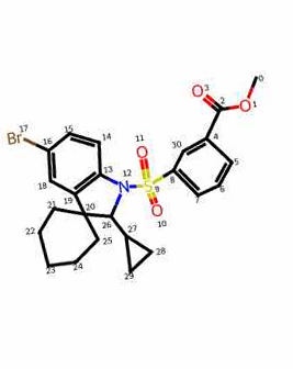 COC(=O)c1cccc(S(=O)(=O)N2c3ccc(Br)cc3C3(CCCCC3)C2C2CC2)c1